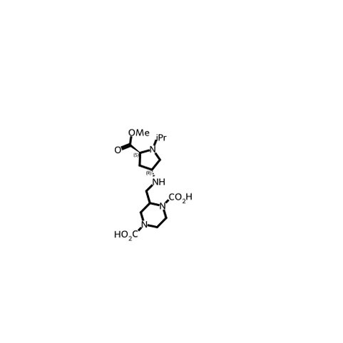 COC(=O)[C@@H]1C[C@@H](NCC2CN(C(=O)O)CCN2C(=O)O)CN1C(C)C